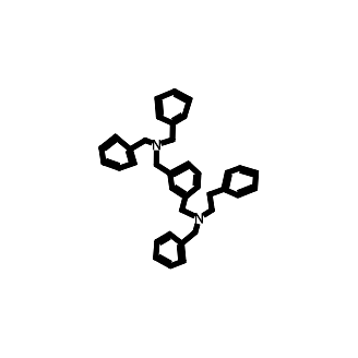 c1ccc(CCN(Cc2ccccc2)Cc2cccc(CN(Cc3ccccc3)Cc3ccccc3)c2)cc1